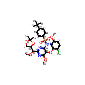 COc1ccc(Cl)c(Oc2c(NS(=O)(=O)c3ccc(C(C)(C)C)cc3)nc(C(OC)C3COC(C)(C)O3)nc2OC)c1